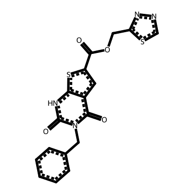 O=C(OCc1nncs1)c1cc2c(=O)n(Cc3ccccc3)c(=O)[nH]c2s1